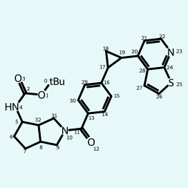 CC(C)(C)OC(=O)NC1CCC2CN(C(=O)c3ccc(C4CC4c4ccnc5sccc45)cc3)CC21